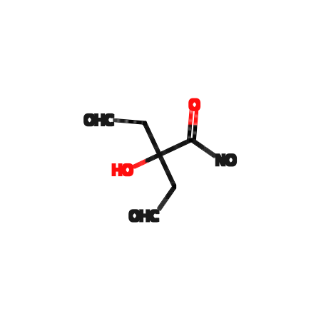 O=CCC(O)(CC=O)C(=O)N=O